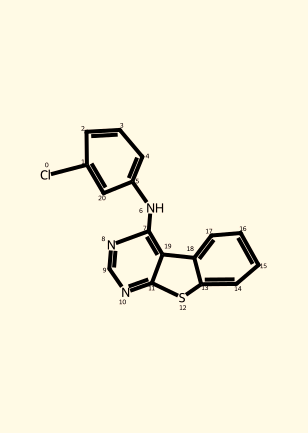 Clc1cccc(Nc2ncnc3sc4ccccc4c23)c1